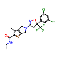 CCNC(=O)c1sc2c(c1C)CN(C1=NOC(c3cc(Cl)cc(Cl)c3)(C(F)(F)F)C1)C2